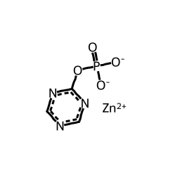 O=P([O-])([O-])Oc1ncncn1.[Zn+2]